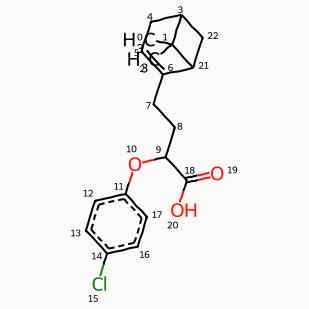 CC1(C)C2CC=C(CCC(Oc3ccc(Cl)cc3)C(=O)O)C1C2